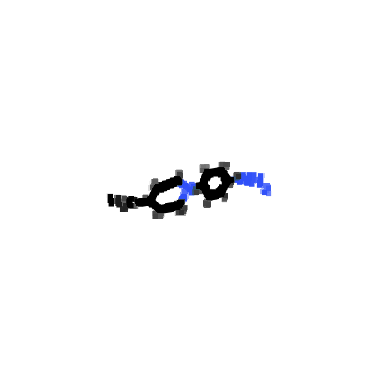 C=C1C=CN(c2ccc(N)cc2)C=C1